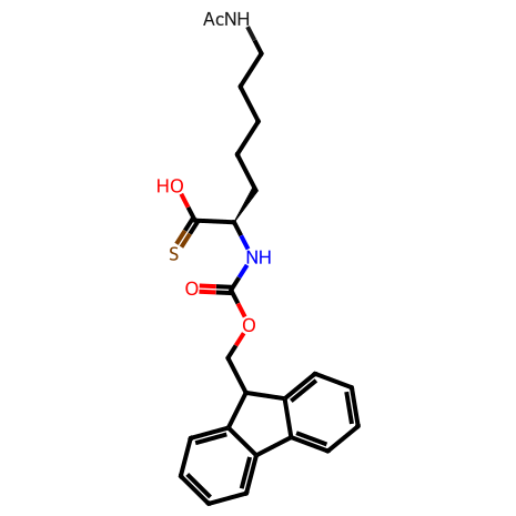 CC(=O)NCCCCC[C@@H](NC(=O)OCC1c2ccccc2-c2ccccc21)C(O)=S